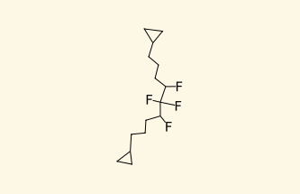 FC(CCCC1CC1)C(F)(F)C(F)CCCC1CC1